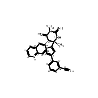 CN1C(=N)N[C@](C)(c2cc(-c3cccc(C#N)c3)cs2)[C@H](c2ccc3ncccc3c2)C1=O